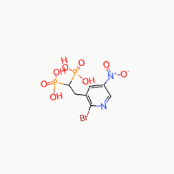 O=[N+]([O-])c1cnc(Br)c(CC(P(=O)(O)O)P(=O)(O)O)c1